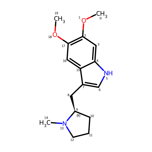 COc1cc2[nH]cc(C[C@H]3CCCN3C)c2cc1OC